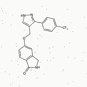 O=C1NCc2cc(OCc3c[nH]nc3-c3ccc(C(F)(F)F)cc3)ccc21